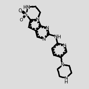 O=S1(=O)NCCn2c1cc1cnc(Nc3ccc(N4CCNCC4)cn3)nc12